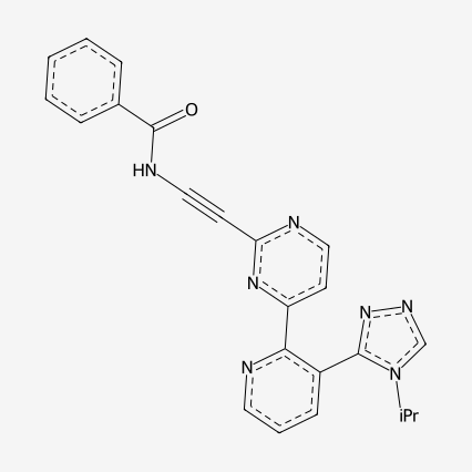 CC(C)n1cnnc1-c1cccnc1-c1ccnc(C#CNC(=O)c2ccccc2)n1